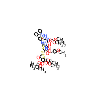 COc1ccc(COC(=O)C2=C(CSc3cc(=O)c4cc(OC(=O)OC(C)(C)C)c(OC(=O)OC(C)(C)C)cc4s3)CS[C@H]3C(NC(=O)/C(=N\OCC(=O)OC(C)(C)C)c4csc(NC(c5ccccc5)(c5ccccc5)c5ccccc5)n4)C(=O)N23)cc1